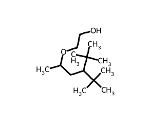 CC(CC(C(C)(C)C)C(C)(C)C)OCCO